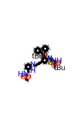 C=CS(=O)(=O)NCc1cccc(NCC#Cc2cc(O[Si](c3ccccc3)(c3ccccc3)C(C)(C)C)c3nc(NC(=O)OC(C)(C)C)sc3c2)c1